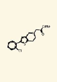 COC(=O)CN1CCc2sc(-c3ccccc3Cl)cc2C1